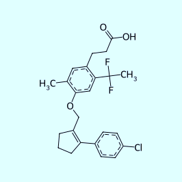 Cc1cc(CCC(=O)O)c(C(C)(F)F)cc1OCC1=C(c2ccc(Cl)cc2)CCC1